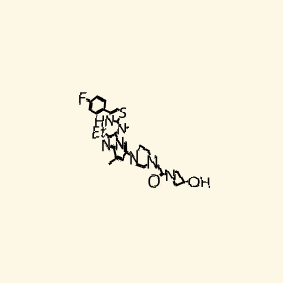 CCc1nc2c(C)cc(N3CCN(CC(=O)N4CC(O)C4)CC3)cn2c1N(C)C1NC(c2ccc(F)cc2)=CS1